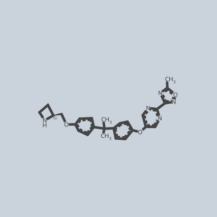 Cc1nc(-c2ncc(Oc3ccc(C(C)(C)c4ccc(OC[C@@H]5CCN5)cc4)cc3)cn2)no1